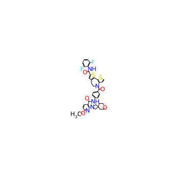 COc1ccc(C(=O)Nc2ccc(C(=O)N3CCc4cc(C(=O)Nc5c(F)cccc5F)sc4-c4sccc43)cc2)c(N2CC3(CCOCC3)C2)n1